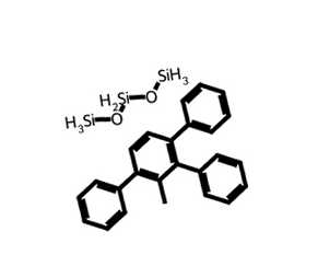 Cc1c(-c2ccccc2)ccc(-c2ccccc2)c1-c1ccccc1.[SiH3]O[SiH2]O[SiH3]